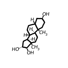 C[C@]12CC[C@H](O)C[C@H]1CC[C@@H]1[C@@H]2CC[C@]2(C)[C@@H](O)[C@H](O)C[C@@H]12